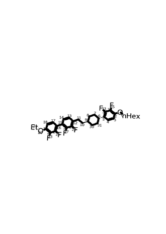 CCCCCCOc1ccc([C@H]2CC[C@H](CCc3ccc(-c4ccc(OCC)c(F)c4F)c(F)c3F)CC2)c(F)c1F